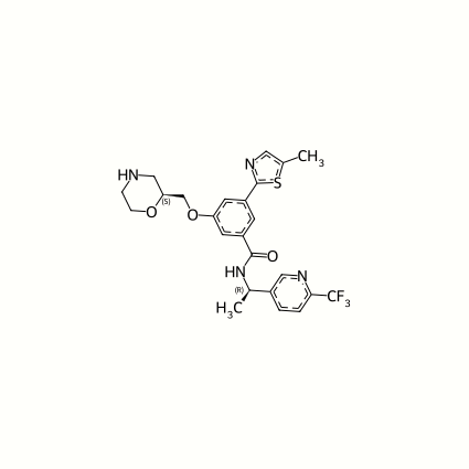 Cc1cnc(-c2cc(OC[C@@H]3CNCCO3)cc(C(=O)N[C@H](C)c3ccc(C(F)(F)F)nc3)c2)s1